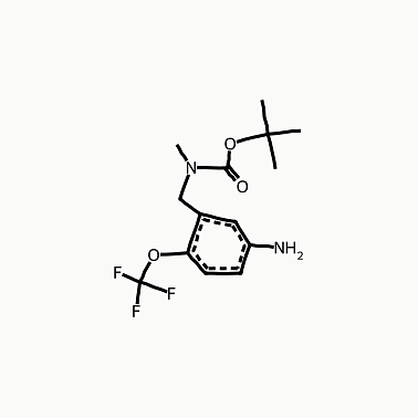 CN(Cc1cc(N)ccc1OC(F)(F)F)C(=O)OC(C)(C)C